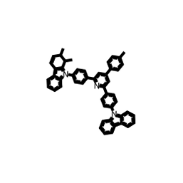 Cc1ccc(-c2cc(-c3ccc(-n4c5c(c6ccccc64)C=CC(C)C5C)cc3)nc(-c3ccc(-n4c5ccccc5c5ccccc54)cc3)c2)cc1